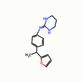 CC(c1ccc(N=C2NCCCN2)cc1)c1ccco1